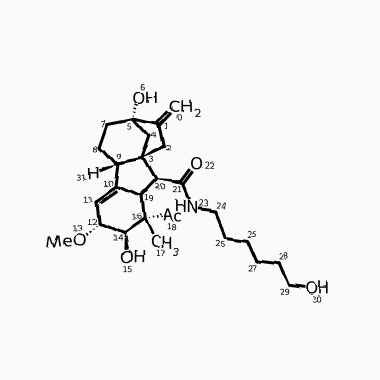 C=C1C[C@]23C[C@@]1(O)CC[C@H]2C1=C[C@@H](OC)[C@H](O)[C@@](C)(C(C)=O)C1[C@@H]3C(=O)NCCCCCCO